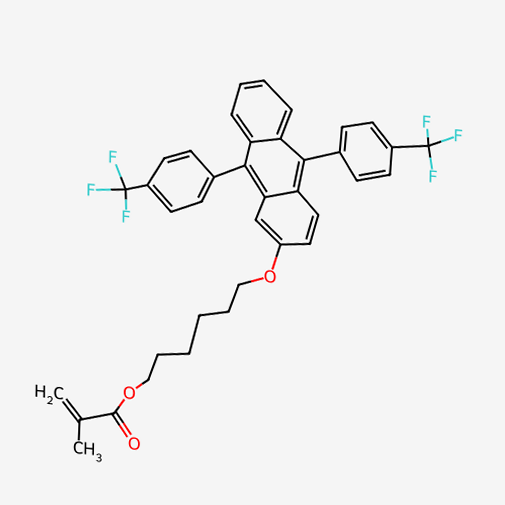 C=C(C)C(=O)OCCCCCCOc1ccc2c(-c3ccc(C(F)(F)F)cc3)c3ccccc3c(-c3ccc(C(F)(F)F)cc3)c2c1